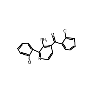 Nc1c(C(=O)c2ccccc2Cl)ccnc1-c1ccccc1Cl